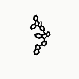 c1cc(-c2ccc3ccccc3c2)cc(-c2c3ccccc3c(-c3ccc4oc5c6ccccc6c6ccccc6c5c4c3)c3ccccc23)c1